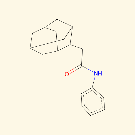 O=C(CC1C2CC3CC(C2)CC1C3)Nc1ccccc1